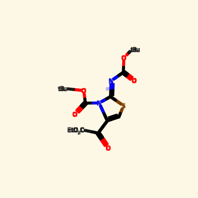 CCOC(=O)C(=O)c1cs/c(=N\C(=O)OC(C)(C)C)n1C(=O)OC(C)(C)C